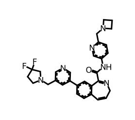 O=C(Nc1ccc(CN2CCC2)nc1)C1=NCC=Cc2ccc(-c3cncc(CN4CCC(F)(F)C4)c3)cc21